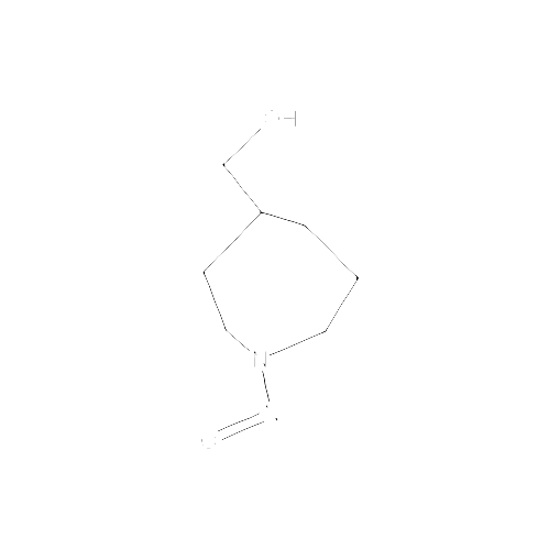 O=NN1CCCC(CO)CC1